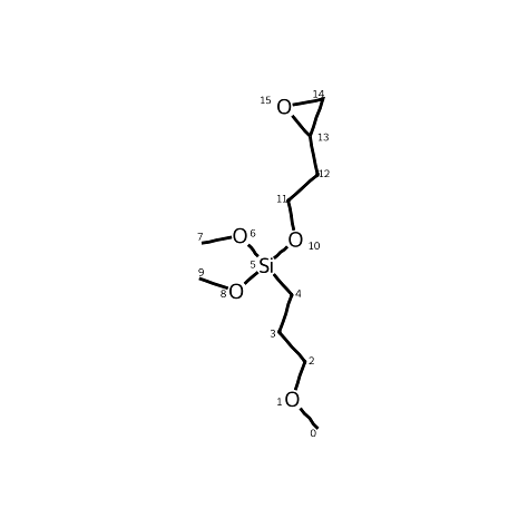 COCCC[Si](OC)(OC)OCCC1CO1